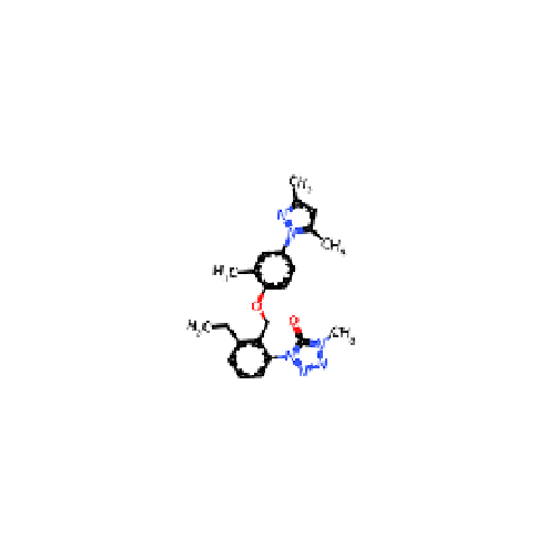 CCc1cccc(-n2nnn(C)c2=O)c1COc1ccc(-n2nc(C)cc2C)cc1C